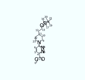 COC(=O)c1ccc(N2CCC(CCO[Si](C)(C)C(C)(C)C)CC2)nn1